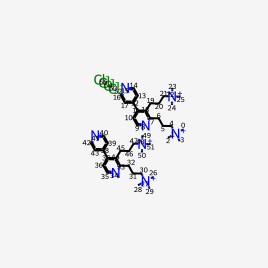 C[N+](C)(C)CCCc1nccc(-c2ccncc2)c1CCC[N+](C)(C)C.C[N+](C)(C)CCCc1nccc(-c2ccncc2)c1CCC[N+](C)(C)C.[Cl-].[Cl-].[Cl-].[Cl-]